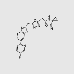 N#CC1(NC(=O)Cc2nnc(Cc3nc4ccc(-c5ccc(F)cn5)cc4s3)o2)CC1